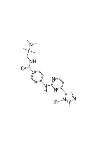 Cc1ncc(-c2ccnc(Nc3ccc(C(=O)NCC(C)(C)N(C)C)cc3)n2)n1C(C)C